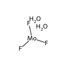 O.O.[F][Mo]([F])[F]